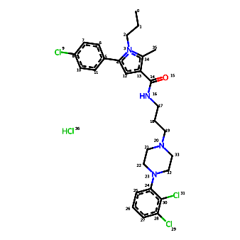 CCCn1c(-c2ccc(Cl)cc2)cc(C(=O)NCCCN2CCN(c3cccc(Cl)c3Cl)CC2)c1C.Cl